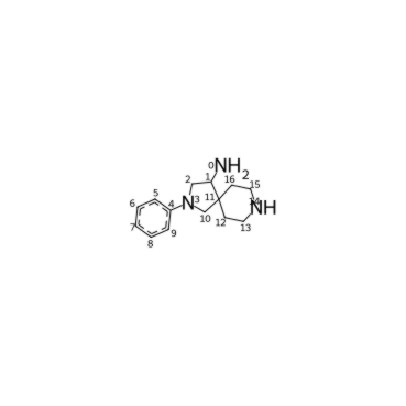 NC1CN(c2ccccc2)CC12CCNCC2